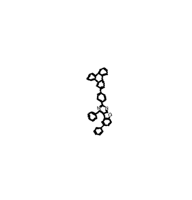 c1ccc(-c2ccc3oc4nc(-c5ccc(-c6ccc7c8ccccc8c8ccccc8c7c6)cc5)nc(-c5ccccc5)c4c3c2)cc1